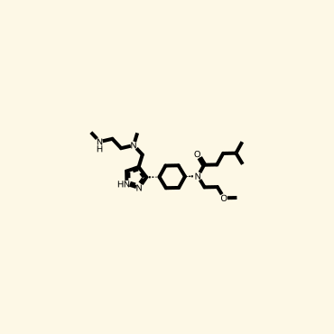 CNCCN(C)Cc1c[nH]nc1[C@H]1CC[C@@H](N(CCOC)C(=O)CCC(C)C)CC1